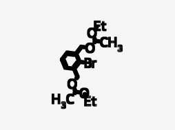 CCOC(C)OCc1cccc(COC(C)OCC)c1Br